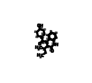 CCC(C)C1C(=O)Nc2ccccc2N1C(=O)N1CCC(O)CC1